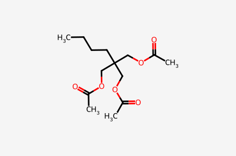 CCCCC(COC(C)=O)(COC(C)=O)COC(C)=O